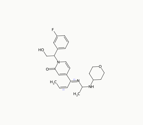 C/C=C\C(=N/C(C)NC1CCOCC1)c1ccn(C(CO)c2cccc(F)c2)c(=O)c1